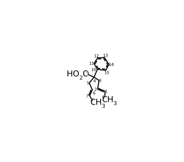 C/C=C/CC(C/C=C/C)(C(=O)O)c1ccccc1